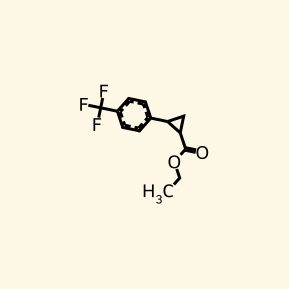 CCOC(=O)C1CC1c1ccc(C(F)(F)F)cc1